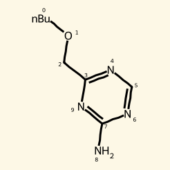 CCCCOCc1ncnc(N)n1